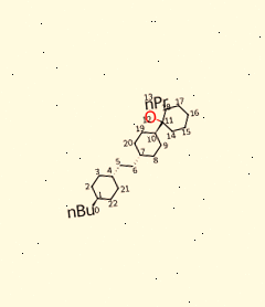 CCCC[C@H]1CC[C@H](CC[C@H]2CC[C@H](C3(OCCC)CCCCC3)CC2)CC1